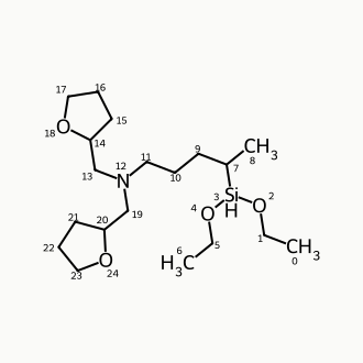 CCO[SiH](OCC)C(C)CCCN(CC1CCCO1)CC1CCCO1